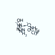 Cc1ccc(NC(=O)c2ccc(C)c(C(F)(F)F)c2)cc1C#Cc1nn(C[C@@H](C)CO)c2ncnc(N)c12